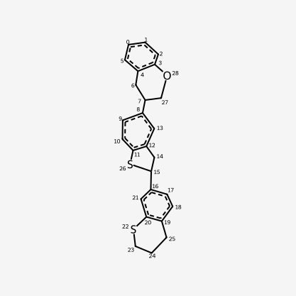 c1ccc2c(c1)CC(c1ccc3c(c1)CC(c1ccc4c(c1)SCCC4)S3)CO2